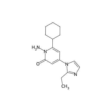 CCc1nccn1-c1cc(C2CCCCC2)n(N)c(=O)c1